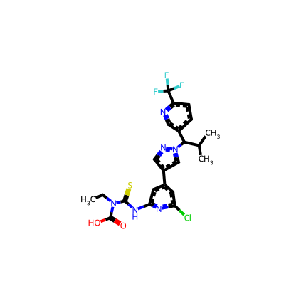 CCN(C(=O)O)C(=S)Nc1cc(-c2cnn(C(c3ccc(C(F)(F)F)nc3)C(C)C)c2)cc(Cl)n1